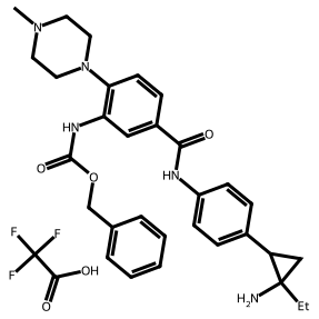 CCC1(N)CC1c1ccc(NC(=O)c2ccc(N3CCN(C)CC3)c(NC(=O)OCc3ccccc3)c2)cc1.O=C(O)C(F)(F)F